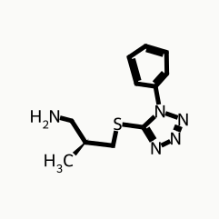 C[C@@H](CN)CSc1nnnn1-c1ccccc1